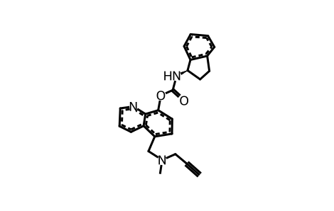 C#CCN(C)Cc1ccc(OC(=O)N[C@@H]2CCc3ccccc32)c2ncccc12